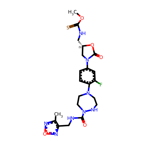 COC(=S)NC[C@H]1CN(c2ccc(N3CCNN(C(=O)NCc4nonc4C)CC3)c(F)c2)C(=O)O1